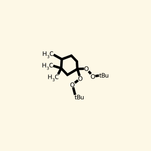 CC1CCC(OOC(C)(C)C)(OOC(C)(C)C)CC1(C)C